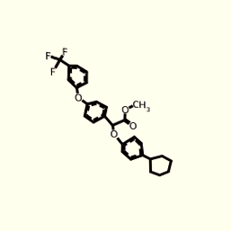 COC(=O)C(Oc1ccc(C2CCCCC2)cc1)c1ccc(Oc2cccc(C(F)(F)F)c2)cc1